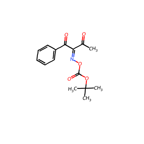 CC(=O)C(=NOC(=O)OC(C)(C)C)C(=O)c1ccccc1